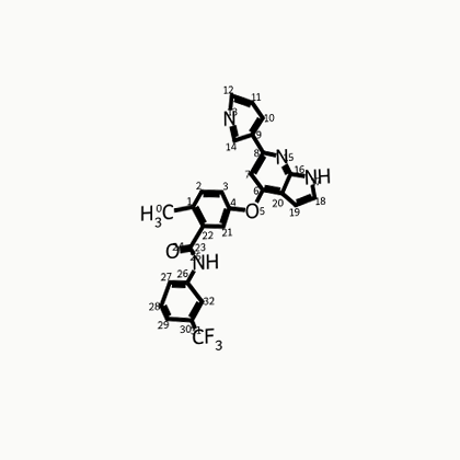 Cc1ccc(Oc2cc(-c3cccnc3)nc3[nH]ccc23)cc1C(=O)Nc1cccc(C(F)(F)F)c1